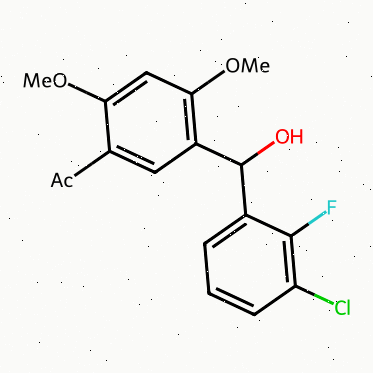 COc1cc(OC)c(C(O)c2cccc(Cl)c2F)cc1C(C)=O